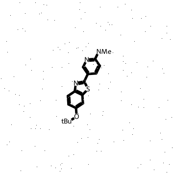 CNc1ccc(-c2nc3ccc(OC(C)(C)C)cc3s2)cn1